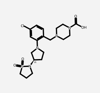 O=C(O)N1CCN(Cc2ccc(Cl)cc2N2CC[C@@H](N3CCCS3(=O)=O)C2)CC1